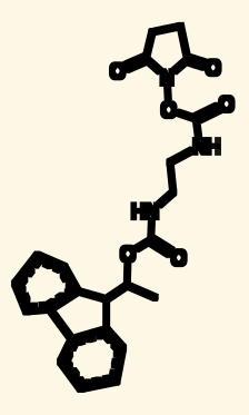 CC(OC(=O)NCCNC(=O)ON1C(=O)CCC1=O)C1c2ccccc2-c2ccccc21